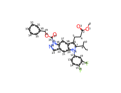 COC(=O)CCc1c(C(C)C)n(-c2ccc(F)c(F)c2)c2cc3cnn(C(=O)OCc4ccccc4)c3cc12